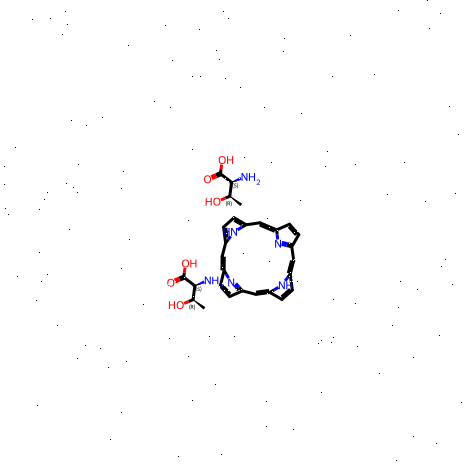 C1=Cc2cc3ccc(cc4nc(cc5ccc(cc1n2)[nH]5)C=C4)[nH]3.C[C@@H](O)[C@H](N)C(=O)O.C[C@@H](O)[C@H](N)C(=O)O